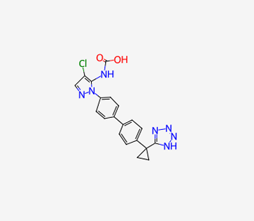 O=C(O)Nc1c(Cl)cnn1-c1ccc(-c2ccc(C3(c4nnn[nH]4)CC3)cc2)cc1